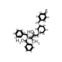 C[C@H](c1ccccc1)N(Cc1ccccc1)[C@H](C)[C@@H](O)CN1CCC[C@@H](Cc2ccc(F)cc2)C1